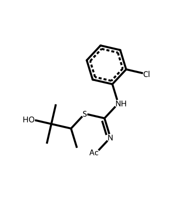 CC(=O)/N=C(/Nc1ccccc1Cl)SC(C)C(C)(C)O